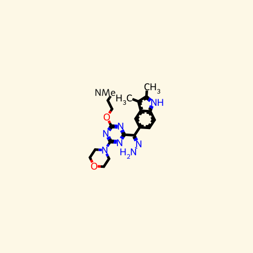 CNCCOc1nc(C(=NN)c2ccc3[nH]c(C)c(C)c3c2)nc(N2CCOCC2)n1